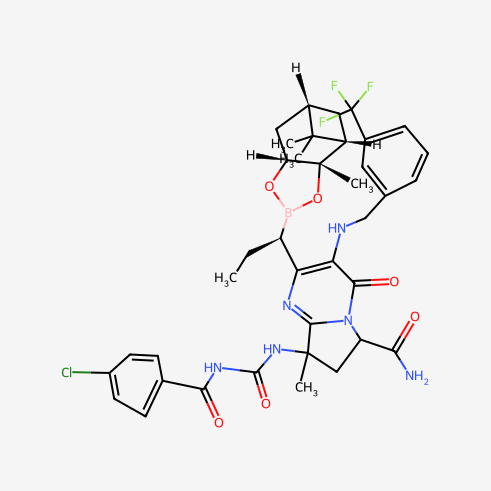 CC[C@@H](B1O[C@@H]2C[C@@H]3C[C@@H](C3(C)C)[C@]2(C)O1)c1nc2n(c(=O)c1NCc1cccc(C(F)(F)F)c1)C(C(N)=O)CC2(C)NC(=O)NC(=O)c1ccc(Cl)cc1